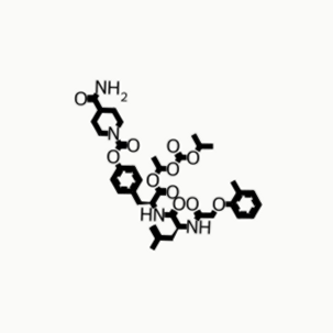 C=C(C)C[C@H](NC(=O)COc1ccccc1C)C(=O)N[C@@H](Cc1ccc(OC(=O)N2CCC(C(N)=O)CC2)cc1)C(=O)OC(C)OC(=O)OC(C)C